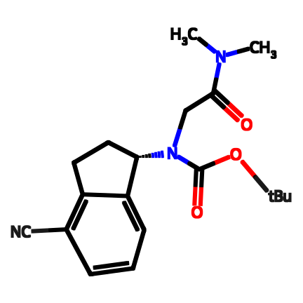 CN(C)C(=O)CN(C(=O)OC(C)(C)C)[C@H]1CCc2c(C#N)cccc21